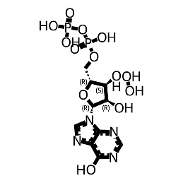 O=P(O)(O)OP(=O)(O)OC[C@H]1O[C@@H](n2cnc3c(O)ncnc32)[C@H](O)[C@@H]1O.OO